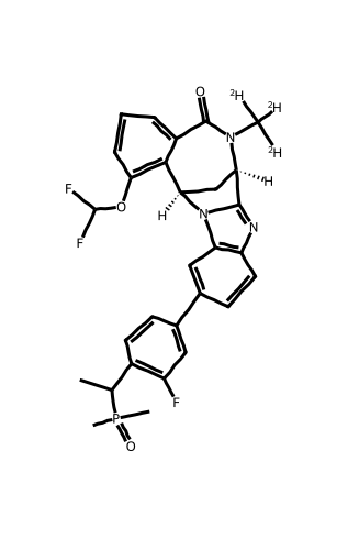 [2H]C([2H])([2H])N1C(=O)c2cccc(OC(F)F)c2[C@H]2C[C@@H]1c1nc3ccc(-c4ccc(C(C)P(C)(C)=O)c(F)c4)cc3n12